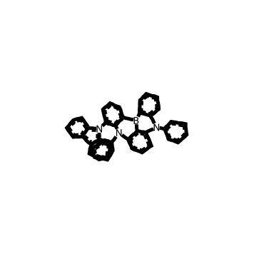 c1ccc(N2c3ccccc3B3c4cccc(-n5c6ccccc6c6ccccc65)c4N(c4ccccc4)c4cccc2c43)cc1